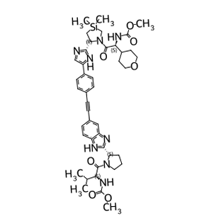 COC(=O)N[C@H](C(=O)N1CCC[C@H]1c1nc2cc(C#Cc3ccc(-c4cnc([C@@H]5C[Si](C)(C)CN5C(=O)[C@@H](NC(=O)OC)C5CCOCC5)[nH]4)cc3)ccc2[nH]1)C(C)C